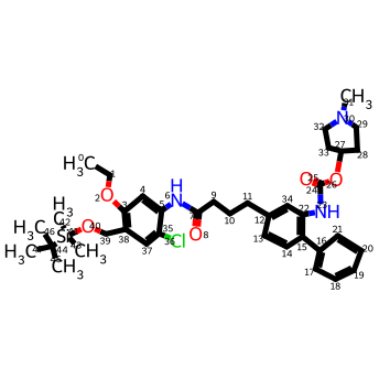 CCOc1cc(NC(=O)CCCc2ccc(-c3ccccc3)c(NC(=O)OC3CCN(C)CC3)c2)c(Cl)cc1CO[Si](C)(C)C(C)(C)C